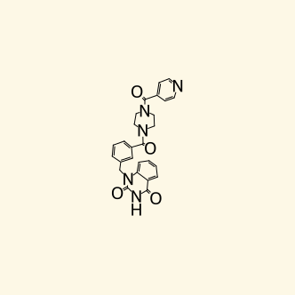 O=C(c1ccncc1)N1CCN(C(=O)c2cccc(Cn3c(=O)[nH]c(=O)c4ccccc43)c2)CC1